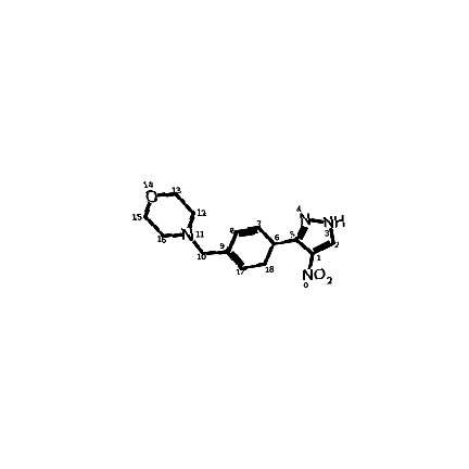 O=[N+]([O-])c1c[nH]nc1C1C=CC(CN2CCOCC2)=CC1